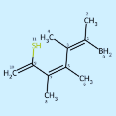 B/C(C)=C(C)\C(C)=C(\C)C(=C)S